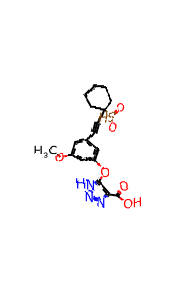 COc1cc(C#CC2([SH](=O)=O)CCCCC2)cc(Oc2[nH]nnc2C(=O)O)c1